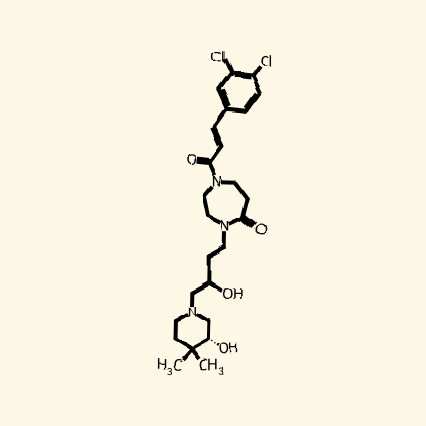 CC1(C)CCN(CC(O)CCN2CCN(C(=O)/C=C/c3ccc(Cl)c(Cl)c3)CCC2=O)C[C@@H]1O